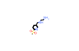 CS(=O)(=O)c1ccc(CNCCN)cn1